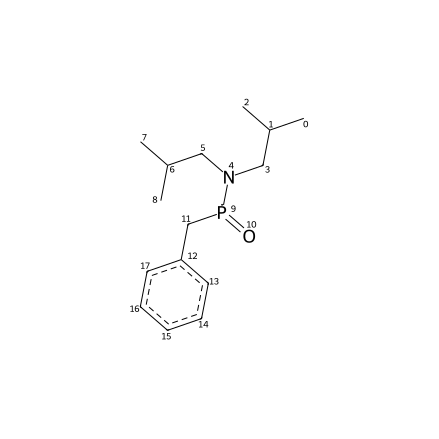 CC(C)CN(CC(C)C)[P](=O)Cc1ccccc1